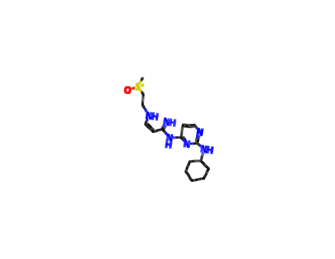 C[S+]([O-])CCN/C=C\C(=N)Nc1ccnc(NC2CCCCC2)n1